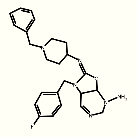 NN1CN=CC2C1O/C(=N/C1CCN(Cc3ccccc3)CC1)N2Cc1ccc(F)cc1